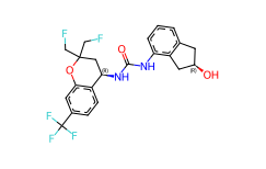 O=C(Nc1cccc2c1C[C@H](O)C2)N[C@@H]1CC(CF)(CF)Oc2cc(C(F)(F)F)ccc21